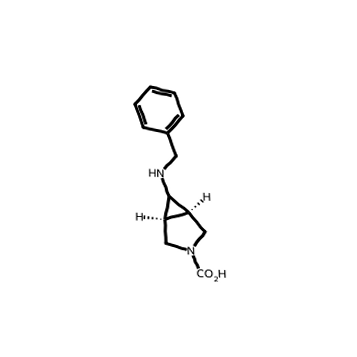 O=C(O)N1C[C@@H]2C(NCc3ccccc3)[C@@H]2C1